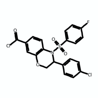 O=C(Cl)c1ccc2c(c1)OCC(c1ccc(Cl)cc1)N2S(=O)(=O)c1ccc(F)cc1